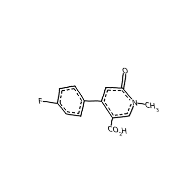 Cn1cc(C(=O)O)c(-c2ccc(F)cc2)cc1=O